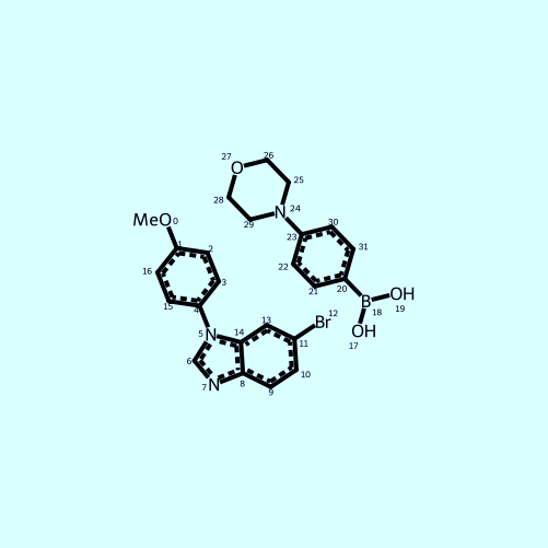 COc1ccc(-n2cnc3ccc(Br)cc32)cc1.OB(O)c1ccc(N2CCOCC2)cc1